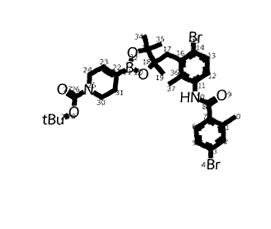 Cc1cc(Br)ccc1C(=O)Nc1ccc(Br)c(CC2(C)OB(C3=CCN(C(=O)OC(C)(C)C)CC3)OC2(C)C)c1C